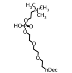 CCCCCCCCCCCCOCCOCCOP(=O)(O)OCC[N+](C)(C)C